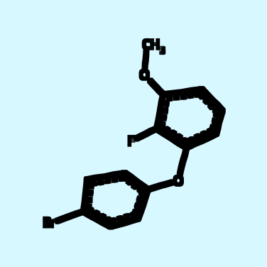 COc1cccc(Oc2ccc(Br)cc2)c1F